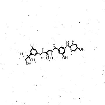 CC(C)(CO)c1cc(Cl)cc([C@H](CC(=O)O)NC(=O)CNC(=O)c2cc(O)cc(NC3=NCC(O)CN3)c2)c1